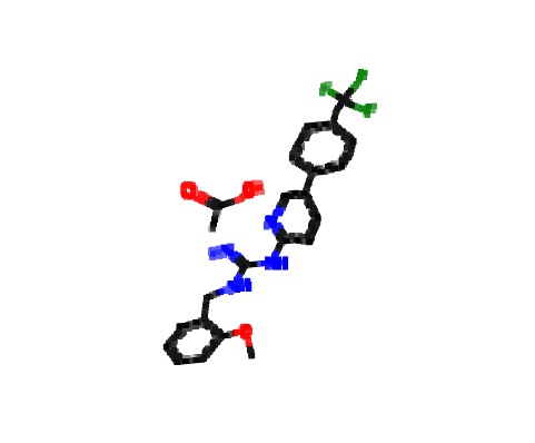 CC(=O)O.COc1ccccc1CNC(=N)Nc1ccc(-c2ccc(C(F)(F)F)cc2)cn1